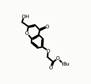 CC(C)(C)OC(=O)COc1ccc2oc(CO)cc(=O)c2c1